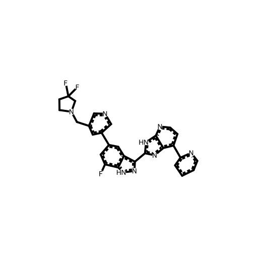 Fc1cc(-c2cncc(CN3CCC(F)(F)C3)c2)cc2c(-c3nc4c(-c5ccccn5)ccnc4[nH]3)n[nH]c12